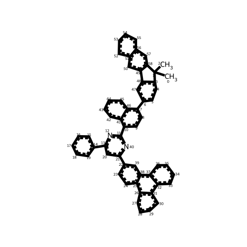 CC1(C)c2ccc(-c3ccc(-c4nc(-c5ccccc5)cc(-c5ccc6c7ccccc7c7ccccc7c6c5)n4)c4ccccc34)cc2-c2cc3ccccc3cc21